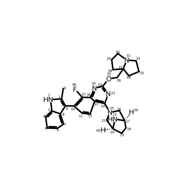 Cc1[nH]c2ccccc2c1-c1ccc2c(N3C[C@H]4CC[C@@H](C3)N4)nc(OCC34CCCN3CCC4)nc2c1F